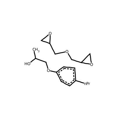 C(OCC1CO1)C1CO1.CCCc1ccc(OCC(C)O)cc1